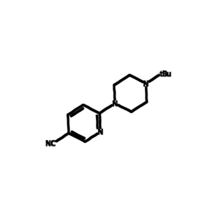 CC(C)(C)N1CCN(c2ccc(C#N)cn2)CC1